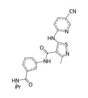 Cc1nsc(Nc2ccc(C#N)cn2)c1C(=O)Nc1cccc(C(=O)NC(C)C)c1